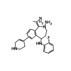 C/C(N)=C1\c2ccc(C3=CCNCC3)cc2C(Nc2ccccc2F)CCN1N